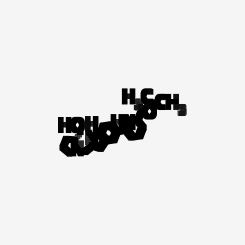 CC(C)OCC1C=CC=C(c2ccc3[nH]c(CN4CCC[C@@H]4CO)cc3c2)N1